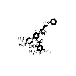 Cc1c(F)c(N)cc(C(=O)Nc2cc(-n3cc(CCNC4CCCCC4)nn3)c(F)cc2N2C[C@@H](C)N(C)[C@@H](C)C2)c1Cl